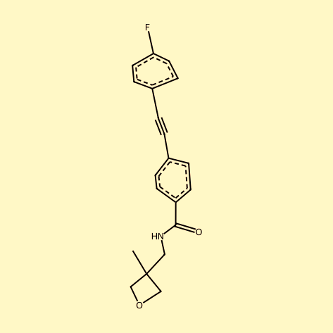 CC1(CNC(=O)c2ccc(C#Cc3ccc(F)cc3)cc2)COC1